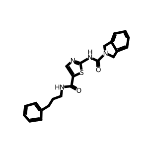 O=C(NCCCc1ccccc1)c1cnc(NC(=O)N2Cc3ccccc3C2)s1